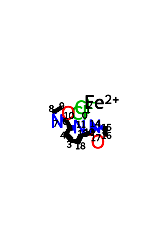 [Cl-].[Cl-].[Fe+2].c1cc(C2=NCCO2)nc(C2=NCCO2)c1